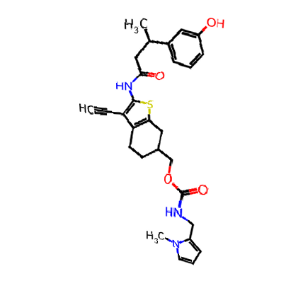 C#Cc1c(NC(=O)CC(C)c2cccc(O)c2)sc2c1CCC(COC(=O)NCc1cccn1C)C2